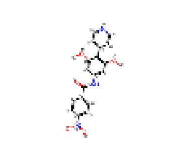 COc1cc(NC(=O)c2ccc([N+](=O)[O-])cc2)cc(OC)c1-c1ccncc1